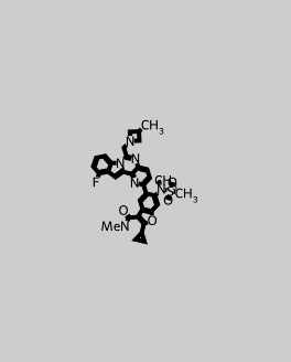 CNC(=O)c1c(C2CC2)oc2cc(N(C)S(C)(=O)=O)c(-c3ccc4nc(CN5CC(C)C5)n5c6cccc(F)c6cc5c4n3)cc12